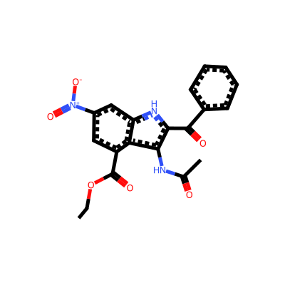 CCOC(=O)c1cc([N+](=O)[O-])cc2[nH]c(C(=O)c3ccccc3)c(NC(C)=O)c12